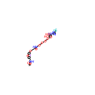 CC(C)(C)OC(=O)NCCc1ccc(Oc2ccc(OCCCCC(=O)NCCOCCOCCOCCOC[C@@H]3OC[C@@H](Nc4cncc(C(F)(F)F)n4)[C@H](O)[C@@H]3O)cc2)c(I)c1